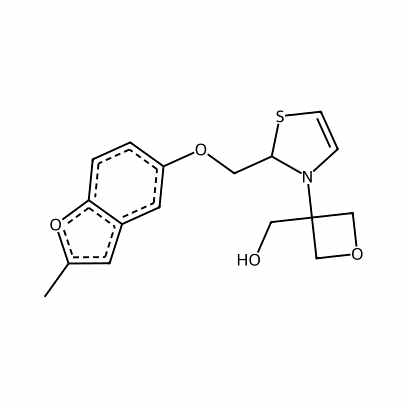 Cc1cc2cc(OCC3SC=CN3C3(CO)COC3)ccc2o1